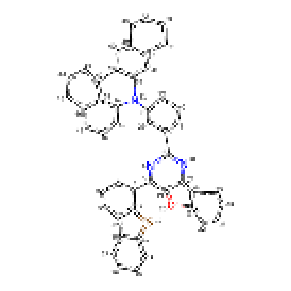 c1cc(-c2nc(-c3cccc4c3sc3ccccc34)c3oc4ccccc4c3n2)cc(N2c3cc4ccccc4cc3-c3cccc4cccc2c34)c1